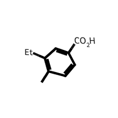 CCc1cc(C(=O)O)ccc1C